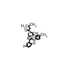 Cc1ccc(Nc2c(-c3cccc(F)c3)nc3n2C(C)(C)CN(C(=O)CC(C)C)C3)cc1